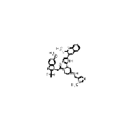 COc1ccc2nc(C(F)(F)F)n(CC(=O)N3CC[C@H](NCc4cncn4C)C[C@H]3c3ncc(-c4cc5ccccc5nc4OC)[nH]3)c2c1